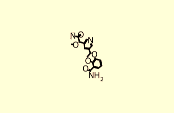 COC(C(=O)N(C)C)c1cncc(C2COc3c(cccc3C(N)=O)O2)c1